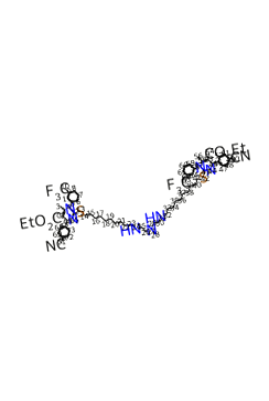 CCOC(=O)C1=C(C)N(c2cccc(C(F)(F)F)c2)C(SCCCCCCCCCCNCCN(C)CCNCCCCCCCCCCSC2=NC(c3ccc(C#N)cc3)C(C(=O)OCC)=C(C)N2c2cccc(C(F)(F)F)c2)=NC1c1ccc(C#N)cc1